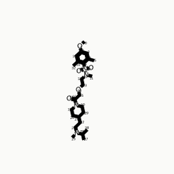 COc1cc(C)c(S(=O)(=O)N(C)CCOCC(=O)N2CCC(CCN(C)C(C)C)CC2)c(C)c1